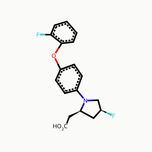 O=C(O)C[C@@H]1C[C@H](F)CN1c1ccc(Oc2ccccc2F)cc1